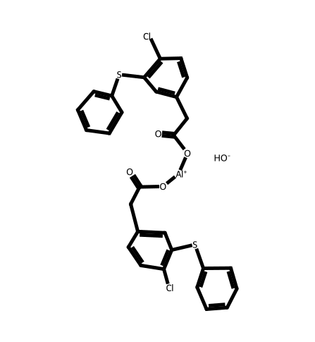 O=C(Cc1ccc(Cl)c(Sc2ccccc2)c1)[O][Al+][O]C(=O)Cc1ccc(Cl)c(Sc2ccccc2)c1.[OH-]